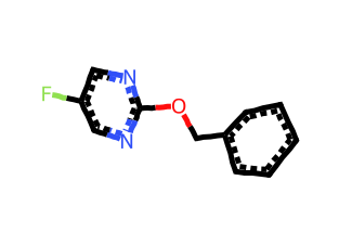 Fc1cnc(OCc2ccccc2)nc1